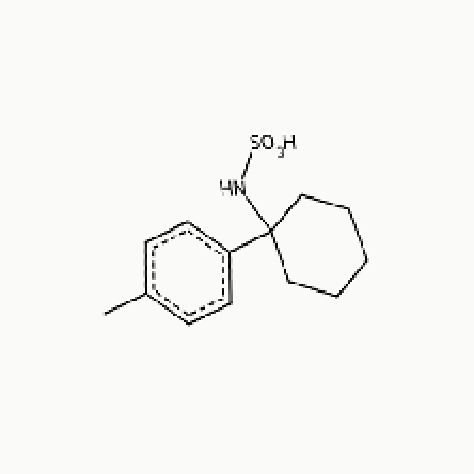 Cc1ccc(C2(NS(=O)(=O)O)CCCCC2)cc1